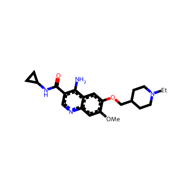 CCN1CCC(COc2cc3c(N)c(C(=O)NC4CC4)cnc3cc2OC)CC1